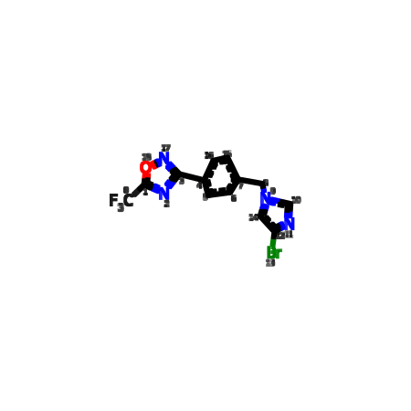 FC(F)(F)c1nc(-c2ccc(Cn3cnc(Br)c3)cc2)no1